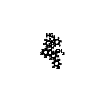 C#Cc1ccccc1-c1cccc[n+]1CC1c2ccccc2-c2cc(-c3ccccc3)cc(C)[n+]21